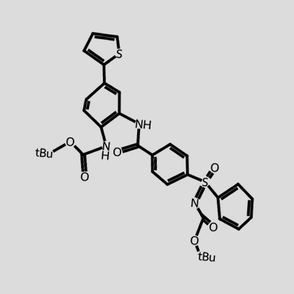 CC(C)(C)OC(=O)N=S(=O)(c1ccccc1)c1ccc(C(=O)Nc2cc(-c3cccs3)ccc2NC(=O)OC(C)(C)C)cc1